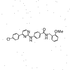 COc1ccccc1CNC(=O)c1ccc(Nc2nccc(-c3ccc(Cl)cc3)n2)cc1